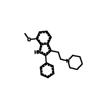 COc1cccc2c(CCN3CCCCC3)c(-c3ccccc3)[nH]c12